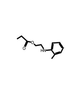 CCC(=O)OCCNc1cc[c]cc1C